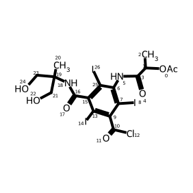 CC(=O)OC(C)C(=O)Nc1c(I)c(C(=O)Cl)c(I)c(C(=O)NC(C)(CO)CO)c1I